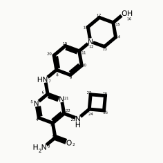 NC(=O)c1cnc(Nc2ccc(N3CCC(O)CC3)cc2)nc1NC1CCC1